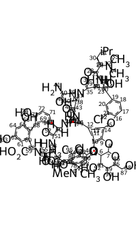 CNC1(C)CC(OC2C(Oc3c4cc5cc3Oc3ccc(cc3Cl)[C@@H](O)[C@@H](NC(=O)[C@@H](CC(C)C)N(C)C)C(=O)N[C@@H](CC(N)=O)C(=O)N[C@H]5C(=O)N[C@H]3C(=O)N[C@H](C(=O)NC(C(=O)O)c5cc(O)cc(O)c5-c5cc3ccc5O)[C@H](O)c3ccc(c(Cl)c3)O4)OC(CO)C(O)C2O)OC(C)C1O